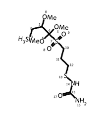 COC(C[SiH3])C(OC)(OC)S(=O)(=O)CCCSNC(N)=O